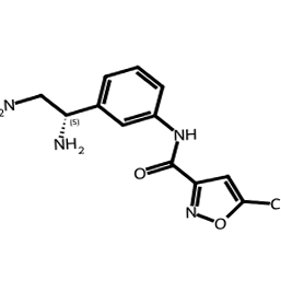 Cc1cc(C(=O)Nc2cccc([C@H](N)CN)c2)no1